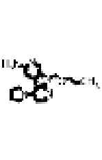 CCCOCn1c2cnc(N)cc2c2c(N3CCCC3)ccnc21